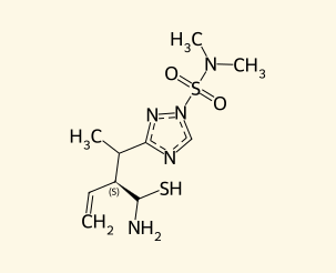 C=C[C@H](C(N)S)C(C)c1ncn(S(=O)(=O)N(C)C)n1